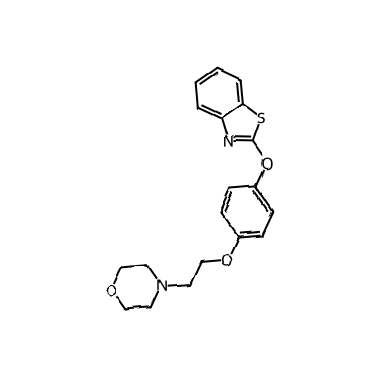 c1ccc2sc(Oc3ccc(OCCN4CCOCC4)cc3)nc2c1